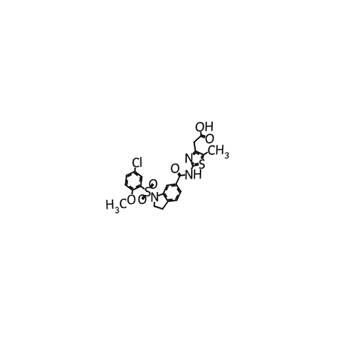 COc1ccc(Cl)cc1S(=O)(=O)N1CCc2ccc(C(=O)Nc3nc(CC(=O)O)c(C)s3)cc21